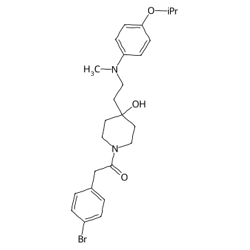 CC(C)Oc1ccc(N(C)CCC2(O)CCN(C(=O)Cc3ccc(Br)cc3)CC2)cc1